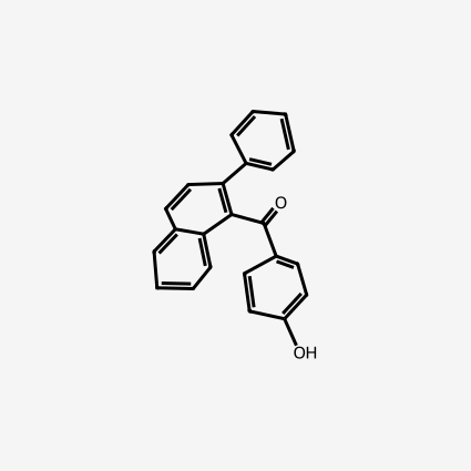 O=C(c1ccc(O)cc1)c1c(-c2ccccc2)ccc2ccccc12